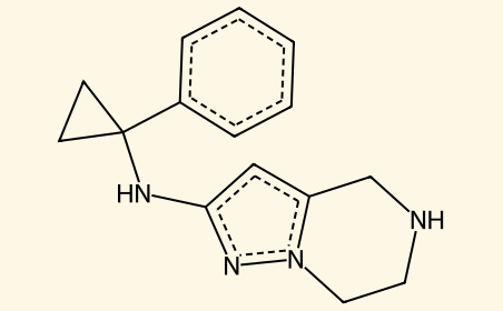 c1ccc(C2(Nc3cc4n(n3)CCNC4)CC2)cc1